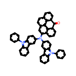 O=C1c2cccc3ccc4cc(N(c5ccc6c(c5)c5ccccc5n6-c5ccccc5)c5ccc6c(c5)c5ccccc5n6-c5ccccc5)c5cccc1c5c4c23